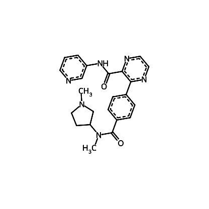 CN1CCC(N(C)C(=O)c2ccc(-c3nccnc3C(=O)Nc3cccnc3)cc2)C1